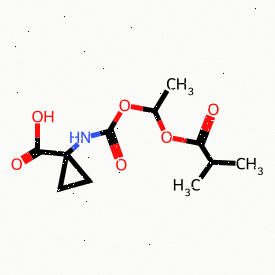 CC(OC(=O)NC1(C(=O)O)CC1)OC(=O)C(C)C